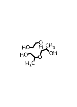 CC(O)COC(C)CO.OCCO